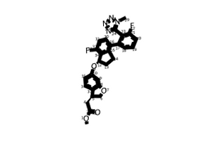 COC(=O)C[C@@H]1COc2cc(O[C@@H]3CCc4c(-c5cccc(F)c5-c5nnnn5C)ccc(F)c43)ccc21